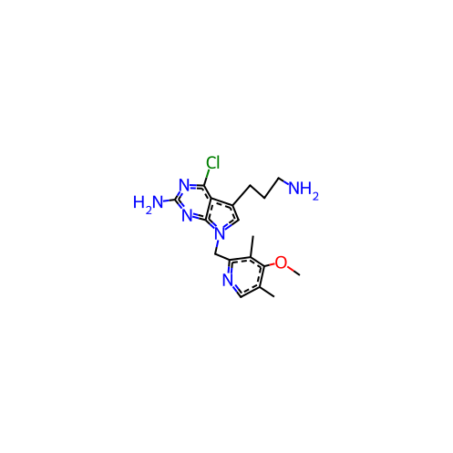 COc1c(C)cnc(Cn2cc(CCCN)c3c(Cl)nc(N)nc32)c1C